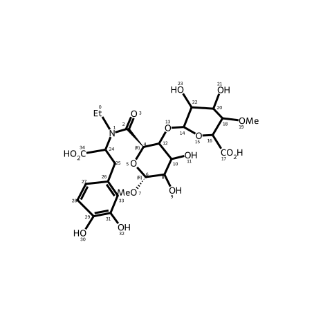 CCN(C(=O)[C@@H]1O[C@@H](OC)C(O)C(O)C1OC1OC(C(=O)O)C(OC)C(O)C1O)C(Cc1ccc(O)c(O)c1)C(=O)O